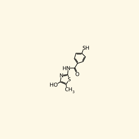 Cc1sc(NC(=O)c2ccc(S)cc2)nc1O